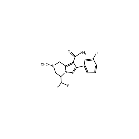 NC(=O)c1c(-c2cccc(Cl)c2)nn2c1CN(C=O)CC2C(F)F